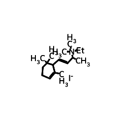 CC[N+](C)(C)C(C)C=CC1C(C)=CCCC1(C)C.[I-]